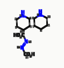 C1CCNCC1.C1CCNCC1.O=C(O)/N=N/C(=O)O